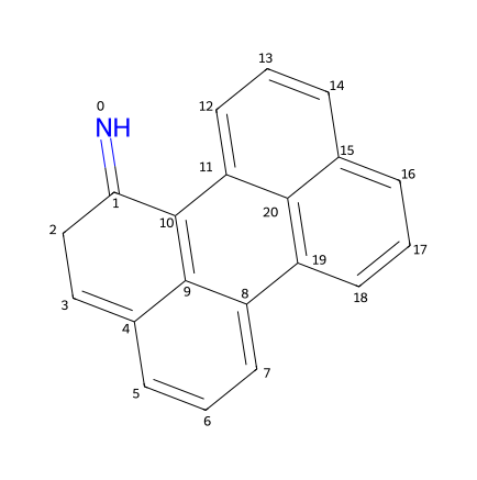 N=C1CC=c2cccc3c2c1c1cccc2cccc3c21